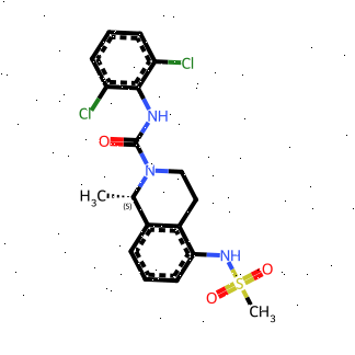 C[C@H]1c2cccc(NS(C)(=O)=O)c2CCN1C(=O)Nc1c(Cl)cccc1Cl